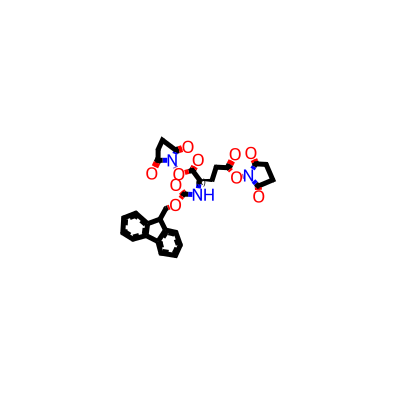 O=C(CC[C@@H](NC(=O)OCC1c2ccccc2-c2ccccc21)C(=O)ON1C(=O)CCC1=O)ON1C(=O)CCC1=O